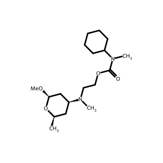 CO[C@H]1C[C@@H](N(C)CCOC(=O)N(C)C2CCCCC2)C[C@@H](C)O1